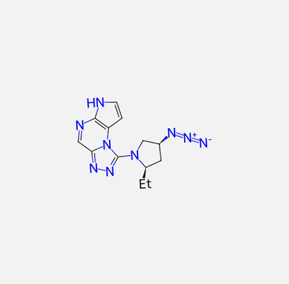 CC[C@@H]1C[C@H](N=[N+]=[N-])CN1c1nnc2cnc3[nH]ccc3n12